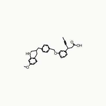 CC#CC(CC(=O)O)c1cccc(OCc2ccc(CC3CNc4cc(OC)ccc4C3)cc2)c1